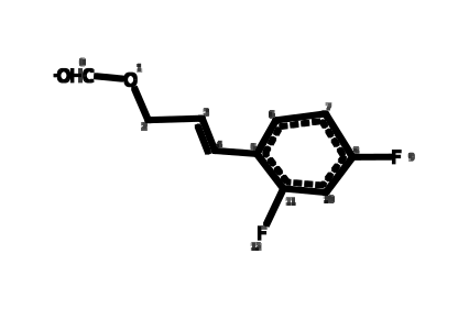 O=[C]OCC=Cc1ccc(F)cc1F